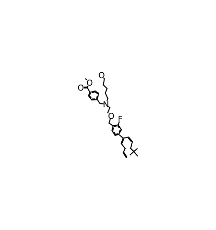 C=CC/C=C(\C=C/CC(C)(C)C)c1ccc(COCCN(CCCCC=O)Cc2ccc(C(=O)OC)cc2)c(F)c1